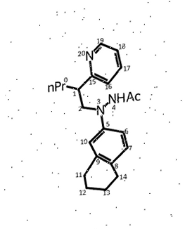 CCCC(CN(NC(C)=O)c1ccc2c(c1)CCCC2)c1ccccn1